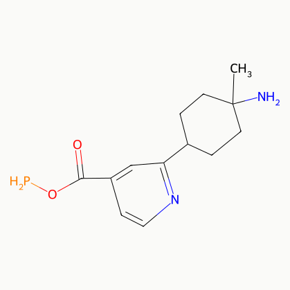 CC1(N)CCC(c2cc(C(=O)OP)ccn2)CC1